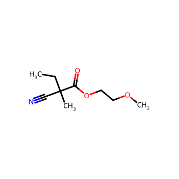 CCC(C)(C#N)C(=O)OCCOC